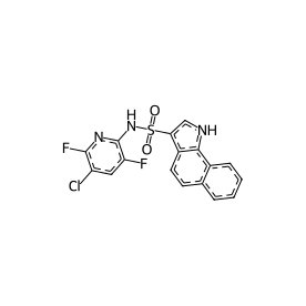 O=S(=O)(Nc1nc(F)c(Cl)cc1F)c1c[nH]c2c1ccc1ccccc12